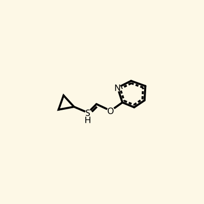 C(Oc1ccccn1)=[SH]C1CC1